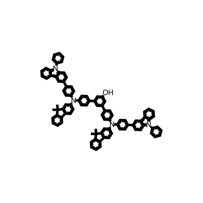 CC1(C)c2ccccc2-c2ccc(N(c3ccc(-c4cc(O)cc(-c5ccc(N(c6ccc(-c7ccc8c(c7)c7ccccc7n8-c7ccccc7)cc6)c6ccc7c(c6)C(C)(C)c6ccccc6-7)cc5)c4)cc3)c3ccc(-c4ccc5c(c4)c4ccccc4n5-c4ccccc4)cc3)cc21